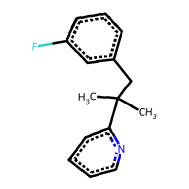 CC(C)(Cc1cccc(F)c1)c1ccccn1